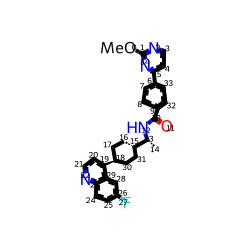 COc1nccc(-c2ccc(C(=O)N[C@H](C)[C@H]3CC[C@H](c4ccnc5ccc(F)cc54)CC3)cc2)n1